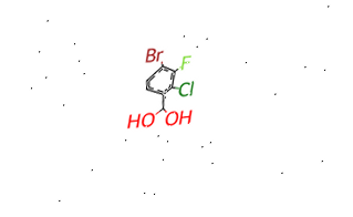 OC(O)c1ccc(Br)c(F)c1Cl